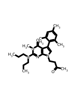 CCCN(CCC)c1nc2c(c(-c3c(C)cc(C)cc3C)cn2CCC(C)=O)c(=O)n1C